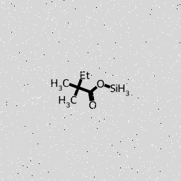 CCC(C)(C)C(=O)O[SiH3]